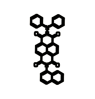 O=C1c2ccc3c4c(ccc(c24)C(=O)N1c1cccc2ccccc12)C(=O)N(N(c1ccccc1)c1ccccc1)C3=O